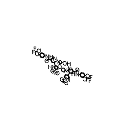 CS(=O)(=O)c1ccc(-c2cc(C(=O)Nc3ccc(OC(F)(F)Cl)cc3)cnc2N2CCC(OC3C(O)CN3c3ncc(C(=O)Nc4ccc(OC(F)(F)Cl)cc4)cc3-c3ccc(S(C)(=O)=O)[nH]3)C2)cn1